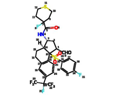 O=CC1C[C@@H](NC(=O)C2(F)CCSCC2)[C@@H]2CCc3cc(C(F)(C(F)(F)F)C(F)(F)F)ccc3[C@@]12S(=O)(=O)c1ccc(F)cc1